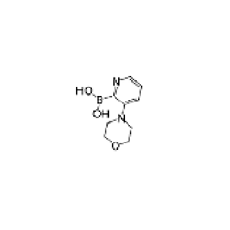 OB(O)c1ncccc1N1CCOCC1